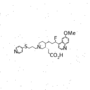 COc1ccc2nccc([C@H](F)CC[C@@H]3CCN(CCCSc4ccncc4)C[C@H]3CCC(=O)O)c2c1